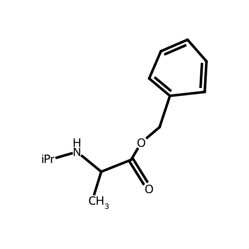 CC(C)NC(C)C(=O)OCc1ccccc1